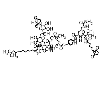 CC(=O)N[C@H]1C([C@@H]2O[C@H](C[C@@H](O)[C@H]3O[C@@H](n4ccc(=O)[nH]c4=O)[C@H](O)[C@@H]3O)[C@H](O)[C@H](O)[C@H]2NC(=O)/C=C\CCCCCCCCCC(C)C)O[C@H](COC(=O)N(C)CCN(C)C(=O)OCc2ccc(NC(=O)C(CCCNC(N)=O)NC(=O)C(NC(=O)CCCCCN3C(=O)CCC3=O)C(C)C)cc2)[C@@H](O)[C@@H]1O